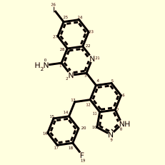 Nc1nc(-c2ccc3[nH]ncc3c2Cc2cccc(F)c2)nc2ccc(I)cc12